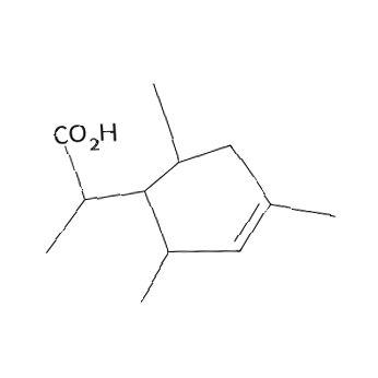 CC1=CC(C)C(C(C)C(=O)O)C(C)C1